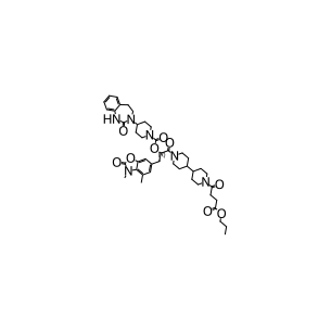 CCCOC(=O)CCC(=O)N1CCC(C2CCN(C(=O)[C@@H](Cc3cc(C)c4c(c3)oc(=O)n4C)OC(=O)N3CCC(N4CCc5ccccc5NC4=O)CC3)CC2)CC1